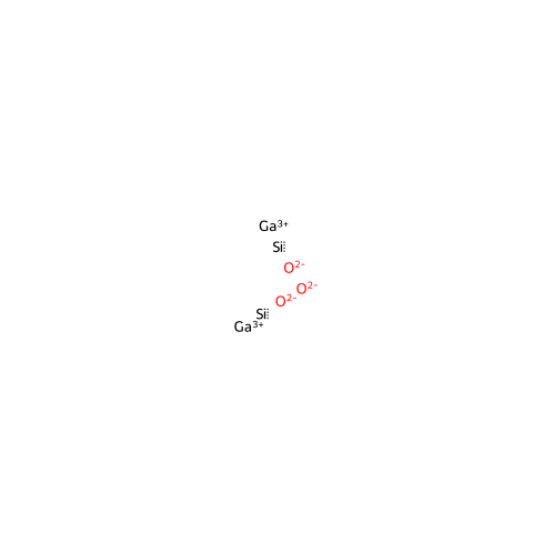 [Ga+3].[Ga+3].[O-2].[O-2].[O-2].[Si].[Si]